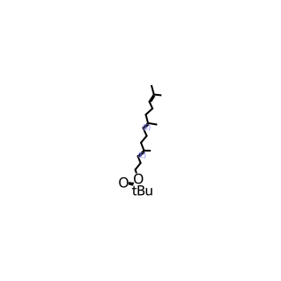 CC(C)=CCC/C(C)=C/CC/C(C)=C/CCOC(=O)C(C)(C)C